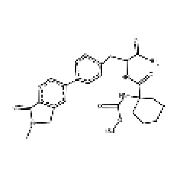 CN1Cc2cc(-c3ccc(CC(NC(=O)C4(NC(=O)OC(C)(C)C)CCCCC4)C(N)=O)cc3)cnc2C1=O